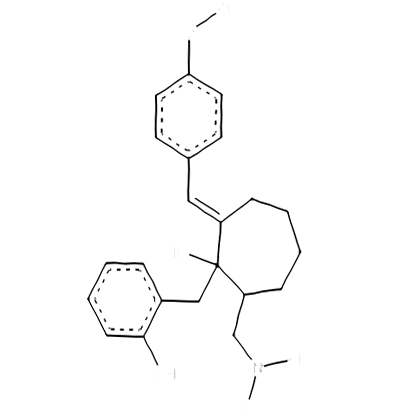 COc1ccc(C=C2CCCCC(CN(C)C)C2(O)Cc2ccccc2C)cc1